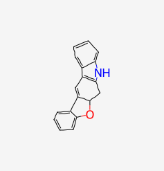 C1=C2c3ccccc3OC2Cc2[nH]c3ccccc3c21